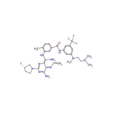 C=C/N=C1/C(N)=NC(N2CC[C@H](F)C2)=N/C1=C(/N)Nc1cc(C(=O)Nc2cc(N(C)CCN(C)C)cc(C(F)(F)F)c2)ccc1C